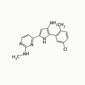 CNc1nccc(-c2cc(N)c(-c3cc(Cl)ccc3C)[nH]2)n1